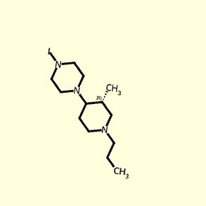 CCCN1CCC(N2CCN(I)CC2)[C@H](C)C1